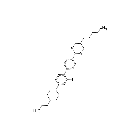 CCCCCC1CSC(c2ccc(-c3ccc(C4CCC(CCC)CC4)cc3F)cc2)SC1